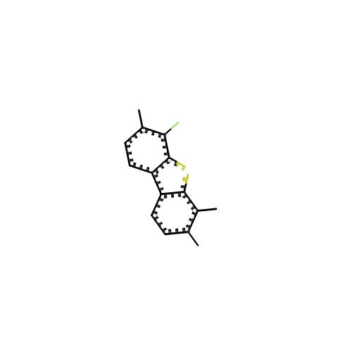 Cc1ccc2c(sc3c(F)c(C)ccc32)c1C